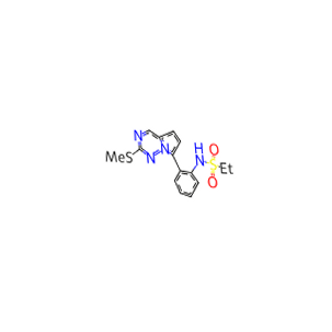 CCS(=O)(=O)Nc1ccccc1-c1ccc2cnc(SC)nn12